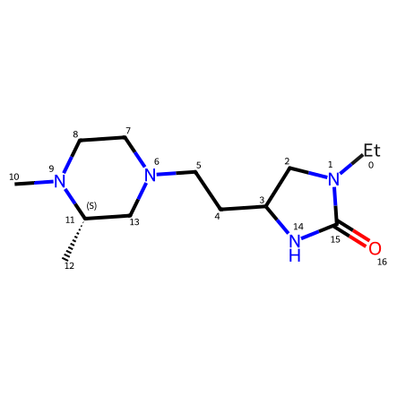 CCN1CC(CCN2CCN(C)[C@@H](C)C2)NC1=O